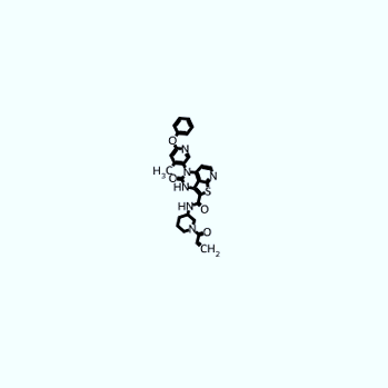 C=CC(=O)N1CCCC(NC(=O)c2sc3nccc4c3c2NC(=O)N4c2cnc(Oc3ccccc3)cc2C)C1